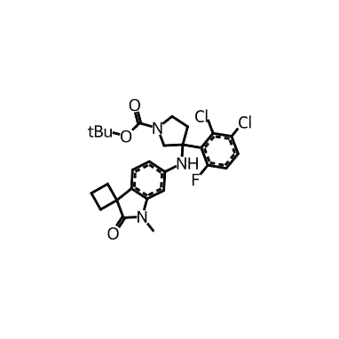 CN1C(=O)C2(CCC2)c2ccc(NC3(c4c(F)ccc(Cl)c4Cl)CCN(C(=O)OC(C)(C)C)C3)cc21